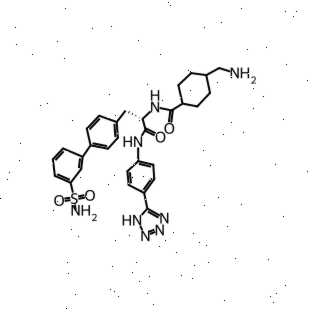 NCC1CCC(C(=O)N[C@@H](Cc2ccc(-c3cccc(S(N)(=O)=O)c3)cc2)C(=O)Nc2ccc(-c3nnn[nH]3)cc2)CC1